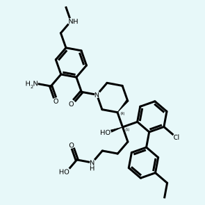 CCc1cccc(-c2c(Cl)cccc2[C@](O)(CCCNC(=O)O)[C@@H]2CCCN(C(=O)c3ccc(CNC)cc3C(N)=O)C2)c1